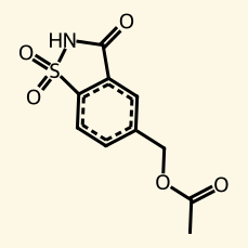 CC(=O)OCc1ccc2c(c1)C(=O)NS2(=O)=O